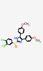 COc1ccc(-c2nc([S+]([O-])c3ccc(Cl)c(Cl)c3)[nH]c2-c2ccc(OC)cc2)cc1